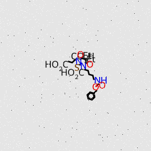 CCC1(CC)C(=O)N(C(CCCCNC(=O)OCc2ccccc2)C(=O)O)C(=S)N(C(CCC(=O)O)C(=O)O)C1=O